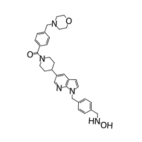 O=C(c1ccc(CN2CCOCC2)cc1)N1CCC(c2cnc3c(ccn3Cc3ccc(CNO)cc3)c2)CC1